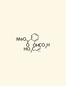 COC(=O)c1ccccc1O.O=C(O)/C=C\C(=O)O